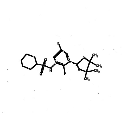 CC1(C)OB(c2cc(F)cc(NS(=O)(=O)C3CCCCC3)c2F)OC1(C)C